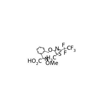 CON=C(C(=O)O)c1ccccc1COc1nc(C(F)(F)C(F)(F)F)sc1C